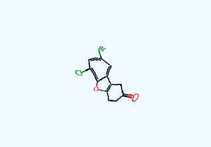 O=C1CCc2oc3c(Cl)cc(Br)cc3c2C1